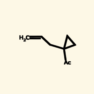 C=CCC1(C(C)=O)CC1